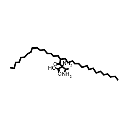 CCCCCCCC/C=C\CCCCCCC(CCCCCCCCCCCCCCCC)C(=O)C(N)(C(=O)O)C(C)N